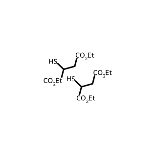 CCOC(=O)CC(S)C(=O)OCC.CCOC(=O)CC(S)C(=O)OCC